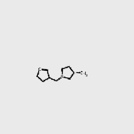 C[C@@H]1CCN(CC2CCOC2)C1